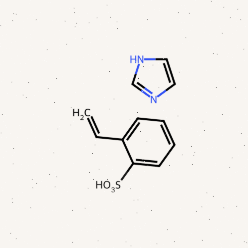 C=Cc1ccccc1S(=O)(=O)O.c1c[nH]cn1